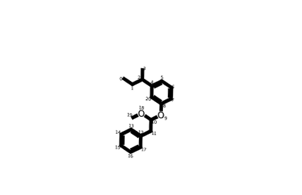 CCC(C)c1cccc(OC(Cc2ccccc2)OC)c1